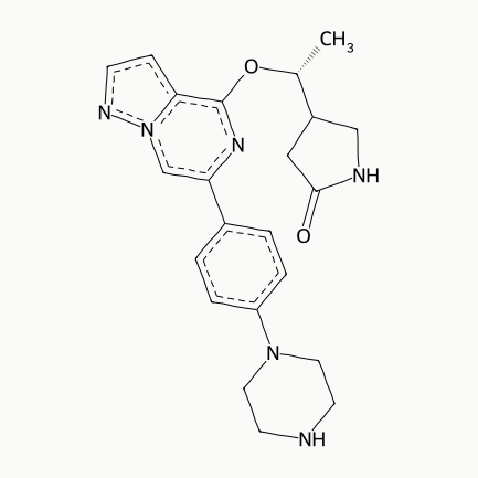 C[C@@H](Oc1nc(-c2ccc(N3CCNCC3)cc2)cn2nccc12)C1CNC(=O)C1